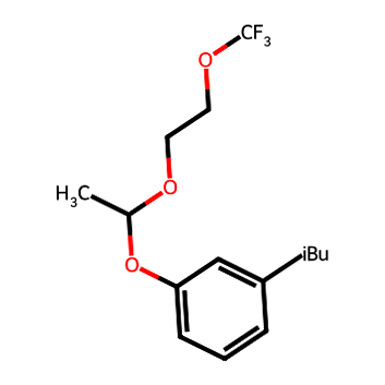 CCC(C)c1cccc(OC(C)OCCOC(F)(F)F)c1